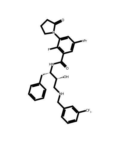 CCCc1cc(C(=O)N[C@@H](Cc2ccccc2)[C@H](O)CNCc2cccc(C(F)(F)F)c2)c(F)c(N2CCCC2=O)c1